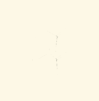 CC(C)(C)OC(=O)Cl.CCCOC(=O)Cl